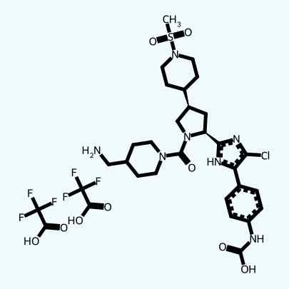 CS(=O)(=O)N1CCC([C@H]2C[C@@H](c3nc(Cl)c(-c4ccc(NC(=O)O)cc4)[nH]3)N(C(=O)N3CCC(CN)CC3)C2)CC1.O=C(O)C(F)(F)F.O=C(O)C(F)(F)F